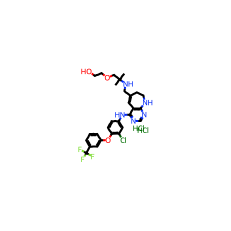 CC(C)(COCCO)NCC1=Cc2c(ncnc2Nc2ccc(Oc3cccc(C(F)(F)F)c3)c(Cl)c2)NCC1.Cl.Cl